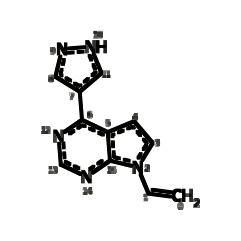 C=Cn1ccc2c(-c3cn[nH]c3)ncnc21